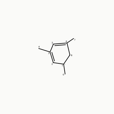 C[C]1C=C(C)[C]=C(C)C1